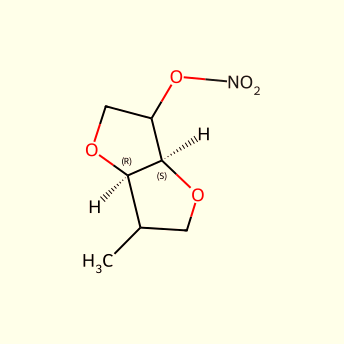 CC1CO[C@@H]2C(O[N+](=O)[O-])CO[C@H]12